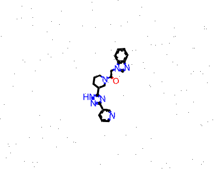 O=C(Cn1cnc2ccccc21)N1CCCC(c2nc(-c3cccnc3)n[nH]2)C1